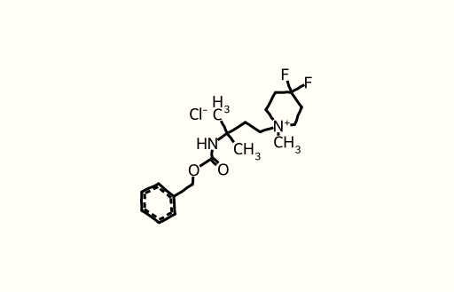 CC(C)(CC[N+]1(C)CCC(F)(F)CC1)NC(=O)OCc1ccccc1.[Cl-]